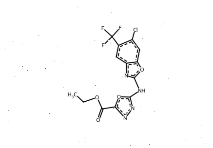 CCOC(=O)c1nnc(Nc2nc3cc(C(F)(F)F)c(Cl)cc3o2)o1